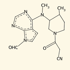 CC1CCN(C(=O)CC#N)CC1N(C)c1ncnc2c1ccn2C=O